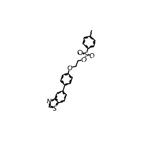 Cc1ccc(S(=O)(=O)OCCOc2ccc(-c3ccc4scnc4c3)cc2)cc1